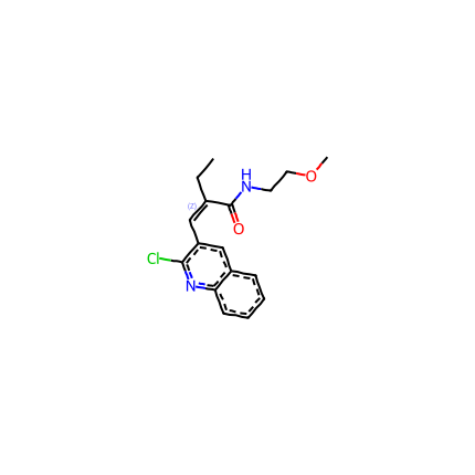 CC/C(=C/c1cc2ccccc2nc1Cl)C(=O)NCCOC